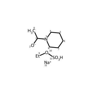 CC([O-])N1CCCCC1.CCOS(=O)(=O)O.[Na+]